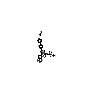 CCCCOc1ccc(-c2ccc(C3=NN(C(=O)CCC(=O)O)C(c4ccc5nccnc5c4)C3)cc2)cc1